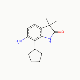 CC1(C)C(=O)Nc2c1ccc(N)c2C1CCCC1